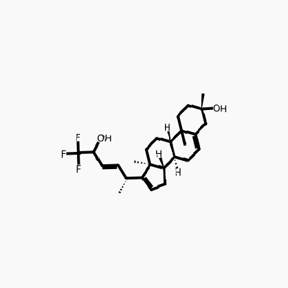 C[C@H](/C=C/C(O)C(F)(F)F)C1=CC[C@H]2[C@@H]3CC=C4C[C@@](C)(O)CCC4(C)[C@H]3CC[C@]12C